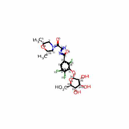 C[C@@H]1CN(C(=O)c2noc(-c3cc(F)c(F)c(O[C@@H]4O[C@H](C(=O)O)[C@@H](O)[C@H](O)[C@H]4O)c3F)n2)C[C@H](C)O1